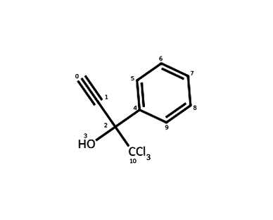 C#CC(O)(c1ccccc1)C(Cl)(Cl)Cl